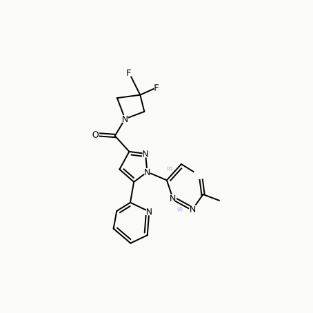 C=C(C)/N=N\C(=C/C)n1nc(C(=O)N2CC(F)(F)C2)cc1-c1ccccn1